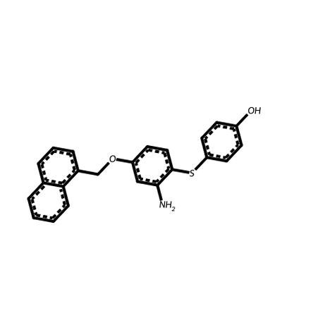 Nc1cc(OCc2cccc3ccccc23)ccc1Sc1ccc(O)cc1